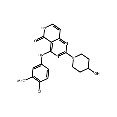 COc1cc(Nc2nc(N3CCC(O)CC3)nc3cc[nH]c(=O)c23)ccc1Cl